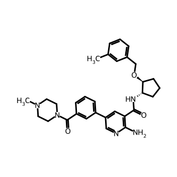 Cc1cccc(CO[C@H]2CCC[C@@H]2NC(=O)c2cc(-c3cccc(C(=O)N4CCN(C)CC4)c3)cnc2N)c1